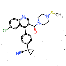 CSN1CCN(C(=O)c2cnc3ccc(Cl)cc3c2-c2ccc(C3(C#N)CC3)cc2)CC1